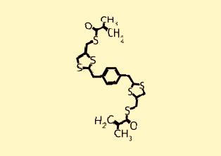 C=C(C)C(=O)SCC1CSC(Cc2ccc(CC3SCC(CSC(=O)C(=C)C)S3)cc2)S1